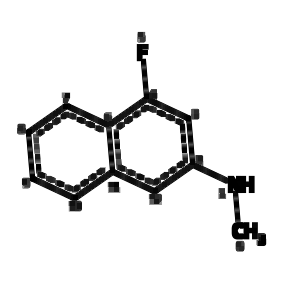 CNc1cc(F)c2ccccc2c1